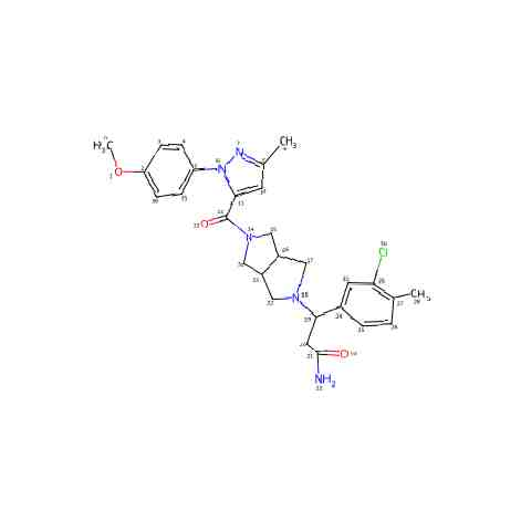 COc1ccc(-n2nc(C)cc2C(=O)N2CC3CN(C(CC(N)=O)c4ccc(C)c(Cl)c4)CC3C2)cc1